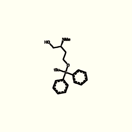 CN[C@H](CO)CCO[Si](c1ccccc1)(c1ccccc1)C(C)(C)C